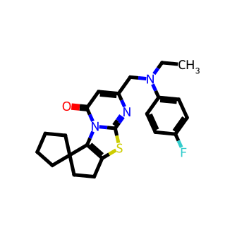 CCN(Cc1cc(=O)n2c3c(sc2n1)CCC31CCCC1)c1ccc(F)cc1